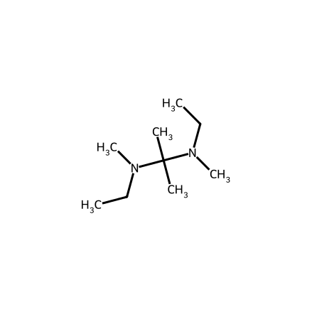 CCN(C)C(C)(C)N(C)CC